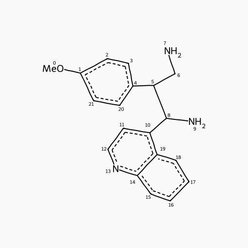 COc1ccc(C(CN)C(N)c2ccnc3ccccc23)cc1